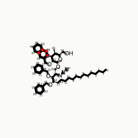 CCCCCCCCCCCCCC[C@@H](OCc1ccccc1)[C@@H](OCc1ccccc1)[C@H](CO[C@H]1O[C@H](CO)[C@H](C)[C@H](OCc2ccccc2)[C@H]1OCc1ccccc1)N=[N+]=[N-]